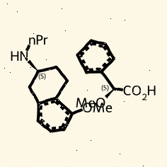 CCCN[C@H]1CCc2c(cccc2OC)C1.CO[C@H](C(=O)O)c1ccccc1